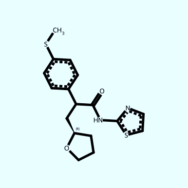 CSc1ccc(C(C[C@H]2CCCO2)C(=O)Nc2nccs2)cc1